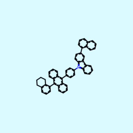 c1cc2c(c(-c3c4ccccc4c(-c4ccc(-n5c6ccccc6c6cc(-c7cccc8ccccc78)ccc65)cc4)c4ccccc34)c1)CCCC2